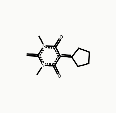 C=c1n(C)c(=O)c(=C2CCCC2)c(=O)n1C